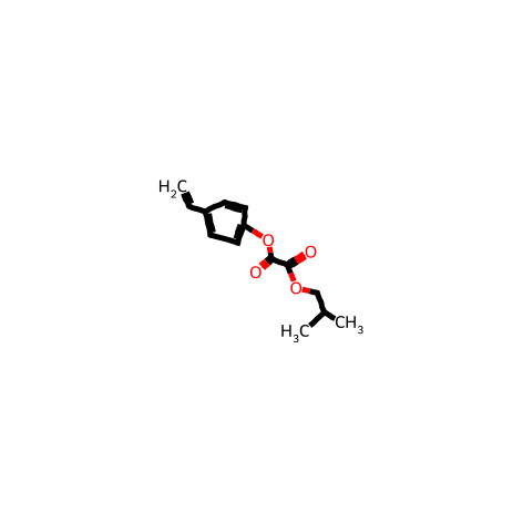 C=Cc1ccc(OC(=O)C(=O)OCC(C)C)cc1